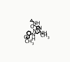 CNc1cc(Nc2cccc3oc(C)cc23)nc2c(C(=O)NC3CC3)cnn12